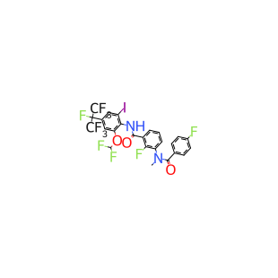 CN(C(=O)c1ccc(F)cc1)c1cccc(C(=O)Nc2c(I)cc(C(F)(C(F)(F)F)C(F)(F)F)cc2OC(F)F)c1F